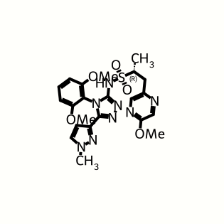 COc1cnc(C[C@@H](C)S(=O)(=O)Nc2nnc(-c3ccn(C)n3)n2-c2c(OC)cccc2OC)cn1